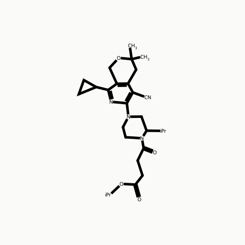 CC(C)OC(=O)CCC(=O)N1CCN(c2nc(C3CC3)c3c(c2C#N)CC(C)(C)OC3)CC1C(C)C